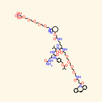 CC(C)C(=O)OCc1ccc(NC(=O)[C@H](CCCNC(N)=O)NC(=O)[C@@H](NC(=O)[C@@H](CCCCNC(=O)COC2CCCCCc3c2nnn3CCOCCOCCOCCOCCOCCP(=O)(O)O)NC(=O)CCOCCOCCOCCOCCNC(=O)CCC(=O)N2Cc3ccccc3C#Cc3ccccc32)C(C)C)cc1